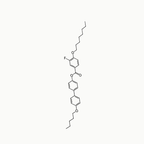 CCCCCCCCOc1ccc(C(=O)Oc2ccc(-c3ccc(OCCCCC)cc3)cc2)cc1F